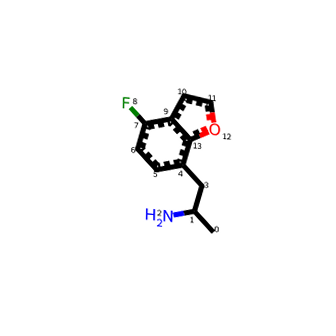 CC(N)Cc1ccc(F)c2ccoc12